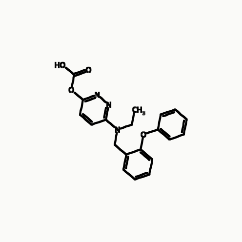 CCN(Cc1ccccc1Oc1ccccc1)c1ccc(OC(=O)O)nn1